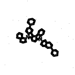 c1ccc(-c2ccc3cc(-n4c5ccccc5c5c6c7cc(-c8ccccc8)ccc7n(-c7cccc8ccccc78)c6ccc54)ccc3c2)cc1